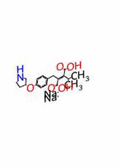 CC(C)C(C(=O)O)=C(Cc1ccc(OC2CCNC2)cc1)C(=O)O.[Na].[Na]